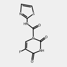 O=C(Nc1nccs1)n1cc(F)c(=O)[nH]c1=O